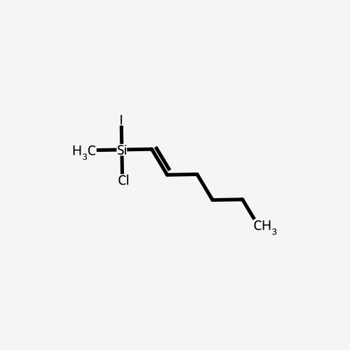 CCCC/C=C/[Si](C)(Cl)I